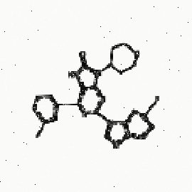 Cc1cccc(-c2nc(-n3cnc4ccc(F)cc43)nc3c2[nH]c(=O)n3C2CCOCC2)c1